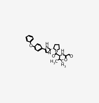 CC(C)[C@H](NC(=O)C=O)C(=O)N1CCC[C@H]1c1ncc(-c2ccc(Oc3ccccc3)cc2)[nH]1